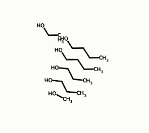 CCCCO.CCCCO.CCCO.CCCO.CCO.CO